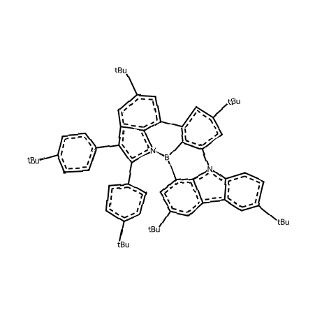 CC(C)(C)c1ccc(-c2c(-c3ccc(C(C)(C)C)cc3)n3c4c(cc(C(C)(C)C)cc24)-c2cc(C(C)(C)C)cc4c2B3c2cc(C(C)(C)C)cc3c5cc(C(C)(C)C)ccc5n-4c23)cc1